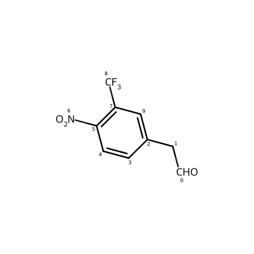 O=CCc1ccc([N+](=O)[O-])c(C(F)(F)F)c1